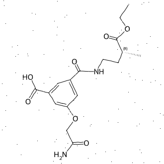 CCOC(=O)[C@H](C)CCNC(=O)c1cc(OCC(N)=O)cc(C(=O)O)c1